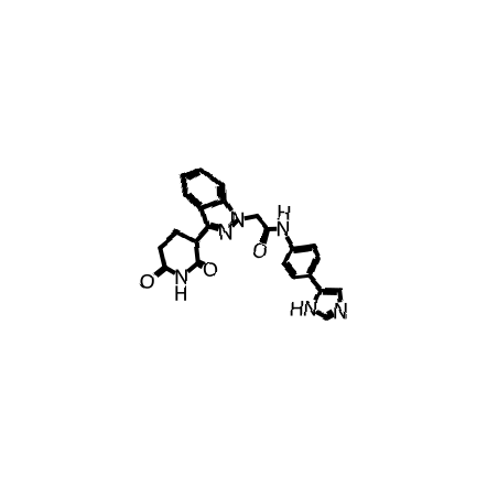 O=C1CCC(c2nn(CC(=O)Nc3ccc(-c4cnc[nH]4)cc3)c3ccccc23)C(=O)N1